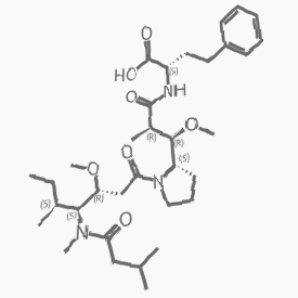 CC[C@H](C)[C@@H]([C@@H](CC(=O)N1CCC[C@H]1[C@H](OC)[C@@H](C)C(=O)N[C@@H](CCc1ccccc1)C(=O)O)OC)N(C)C(=O)CC(C)C